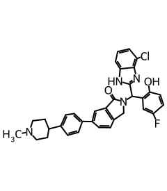 CN1CCC(c2ccc(-c3ccc4c(c3)C(=O)N(C(c3nc5c(Cl)cccc5[nH]3)c3cc(F)ccc3O)C4)cc2)CC1